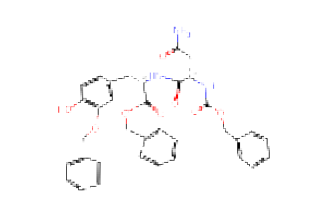 NC(=O)C[C@H](NC(=O)OCc1ccccc1)C(=O)N[C@@H](Cc1ccc(O)c(OCc2ccccc2)c1)C(=O)OCc1ccccc1